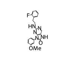 COc1cccc(-n2c(=O)[nH]c3cnc(NCCc4ccccc4F)nc32)c1